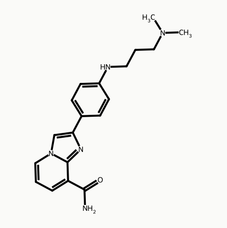 CN(C)CCCNc1ccc(-c2cn3cccc(C(N)=O)c3n2)cc1